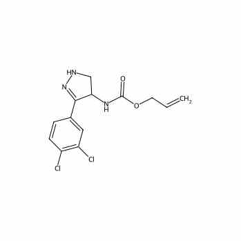 C=CCOC(=O)NC1CNN=C1c1ccc(Cl)c(Cl)c1